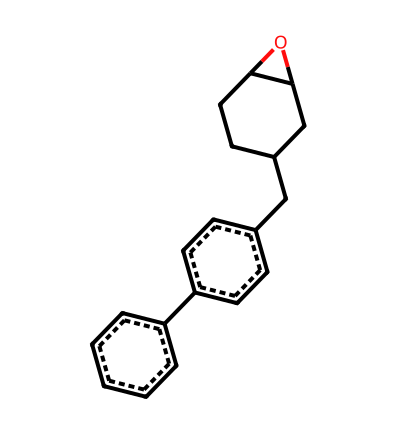 c1ccc(-c2ccc(CC3CCC4OC4C3)cc2)cc1